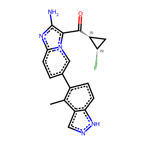 Cc1c(-c2ccc3nc(N)c(C(=O)[C@@H]4C[C@@H]4F)n3c2)ccc2[nH]ncc12